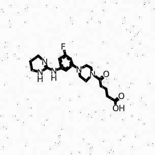 O=C(O)CCCC(=O)N1CCN(c2cc(F)cc(NC3=NCCCN3)c2)CC1